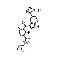 CCCS(=O)(=O)Nc1ccc(F)c(C(=O)c2c[nH]c3ncc(-c4nccn4C)cc23)c1F